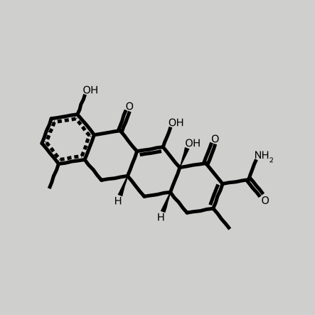 CC1=C(C(N)=O)C(=O)[C@@]2(O)C(O)=C3C(=O)c4c(O)ccc(C)c4C[C@H]3C[C@H]2C1